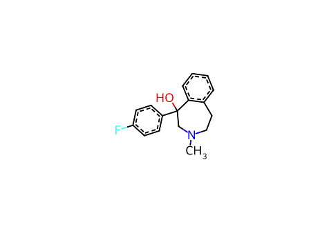 CN1CCc2ccccc2C(O)(c2ccc(F)cc2)C1